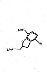 COCC1Cc2c(Br)ccc(OC)c2O1